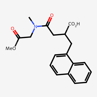 COC(=O)CN(C)C(=O)CC(Cc1cccc2ccccc12)C(=O)O